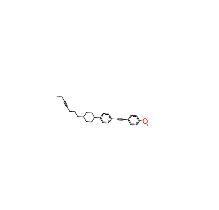 CCC#CCCCC1CCC(c2ccc(C#Cc3ccc(OC)cc3)cc2)CC1